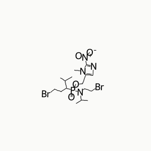 CC(C)C(CCBr)P(=O)(OCc1cnc([N+](=O)[O-])n1C)N(CCBr)C(C)C